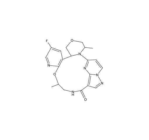 CC1CNC(=O)c2cnn3ccc(nc23)N2C(C)COCC2c2cc(F)cnc2O1